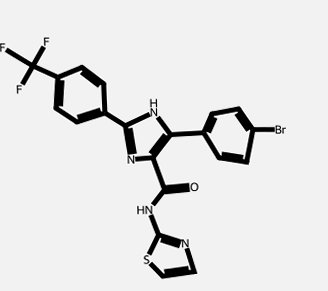 O=C(Nc1nccs1)c1nc(-c2ccc(C(F)(F)F)cc2)[nH]c1-c1ccc(Br)cc1